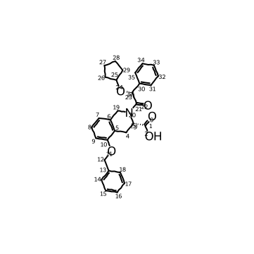 O=C(O)[C@@H]1Cc2c(cccc2OCc2ccccc2)CN1C(=O)[C@H](OC1CCCC1)c1ccccc1